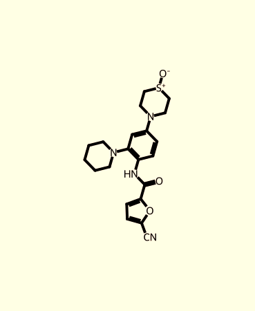 N#Cc1ccc(C(=O)Nc2ccc(N3CC[S+]([O-])CC3)cc2N2CCCCC2)o1